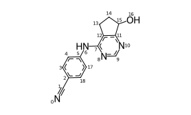 N#Cc1ccc(Nc2ncnc3c2CCC3O)cc1